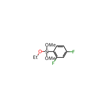 CCO[Si](OC)(OC)c1ccc(F)cc1F